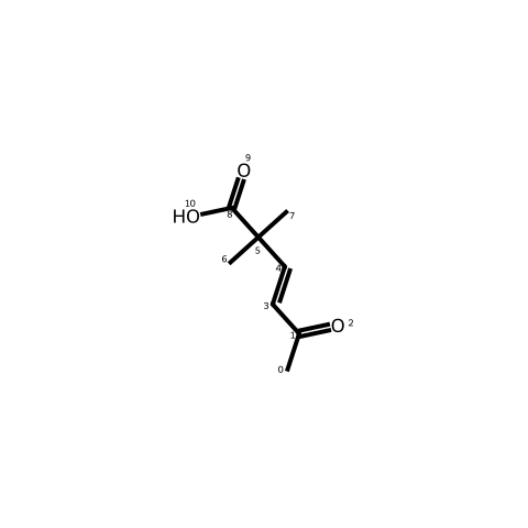 CC(=O)/C=C/C(C)(C)C(=O)O